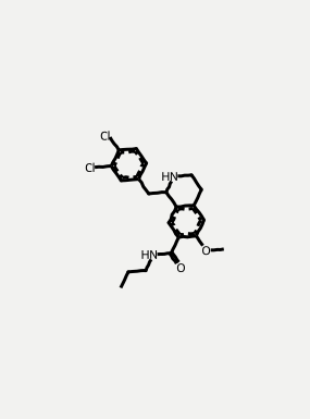 CCCNC(=O)c1cc2c(cc1OC)CCNC2Cc1ccc(Cl)c(Cl)c1